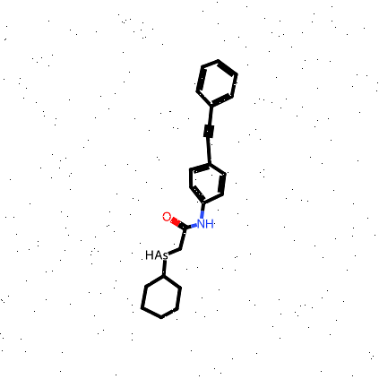 O=C(C[AsH]C1CCCCC1)Nc1ccc(C#Cc2ccccc2)cc1